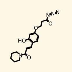 [N-]=[N+]=NC(=O)CCOc1ccc(/C=C/C(=O)N2CCCCC2)c(O)c1